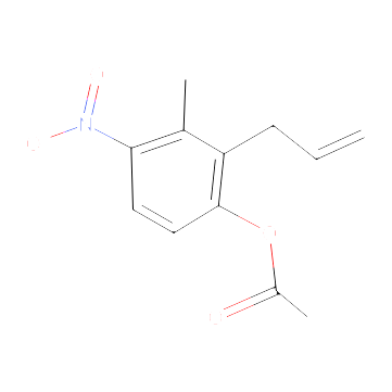 C=CCc1c(OC(C)=O)ccc([N+](=O)[O-])c1C